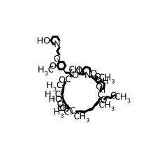 COCCOC1C[C@@H]2CC[C@@H](C)[C@@](O)(O2)C(=O)C(=O)N2CCCCC2C(=O)O[C@H]([C@H](C)C[C@@H]2CC[C@@H](OCCCN3CCC[C@H](O)C3)[C@H](OC)C2)CC(=O)[C@H](C)/C=C(\C)[C@@H](O)[C@@H](OC)C(=O)[C@H](C)C[C@H](C)/C=C/C=C/C=C/1C